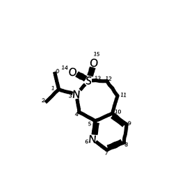 CC(C)N1Cc2ncccc2CCS1(=O)=O